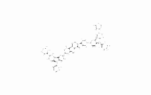 c1ccc(-c2ccc3c(c2)c2cc(-c4ccc5c(c4)oc4c5ccc5c6ccc(-c7ccc8c(c7)c7cc(-c9ccccc9)ccc7n8-c7ccccc7)cc6oc54)ccc2n3-c2ccccc2)cc1